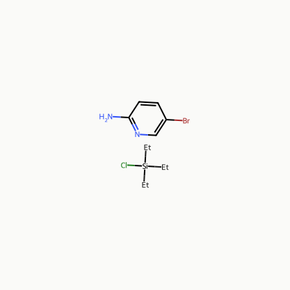 CC[Si](Cl)(CC)CC.Nc1ccc(Br)cn1